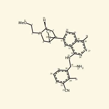 COCCN1CC2CC[C@@H]1CN2c1cc2c(N[C@H](N)c3cccc(C#N)c3C)nnc(C)c2cn1